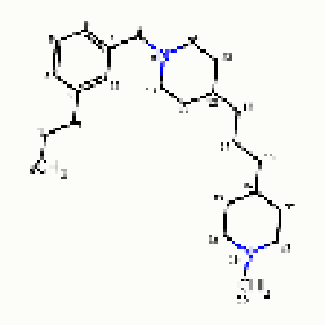 CCCc1cccc(CN2CCC(CCCC3CCN(C)CC3)CC2)c1